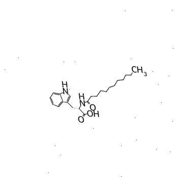 CCCCCCCCCCCC(=O)N[C@@H](Cc1c[nH]c2ccccc12)C(=O)O